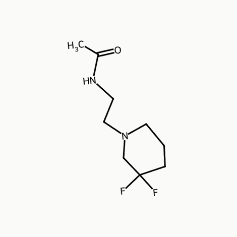 CC(=O)NCCN1CCCC(F)(F)C1